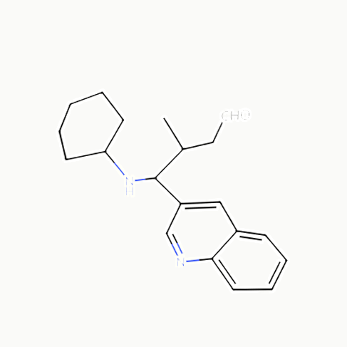 CC(CC=O)C(NC1CCCCC1)c1cnc2ccccc2c1